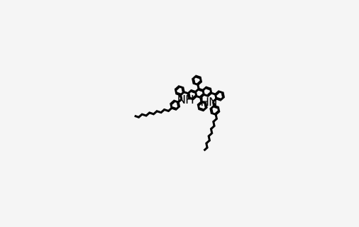 CCCCCCCCCCc1ccc(Nc2ccccc2-c2ccc3c(-c4ccccc4)c4cc(-c5ccccc5Nc5ccc(CCCCCCCCCC)cc5)ccc4c(-c4ccccc4)c3c2)cc1